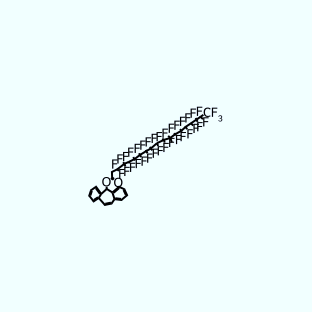 O=C(CC(F)(F)C(F)(F)C(F)(F)C(F)(F)C(F)(F)C(F)(F)C(F)(F)C(F)(F)C(F)(F)C(F)(F)C(F)(F)C(F)(F)C(F)(F)C(F)(F)C(F)(F)C(F)(F)C(F)(F)F)OC1c2ccccc2C=Cc2ccccc21